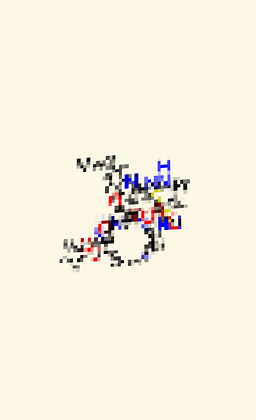 COc1ccc2c(O[C@@H]3C[C@H]4C(=O)NC5(C(=O)NS(=O)(=O)C6CC6)C[C@H]5/C=C\CCCCC[C@H](NC(=O)OC5CCCC5)C(=O)N4C3)cc(-c3csc(NC(C)C)n3)nc2c1